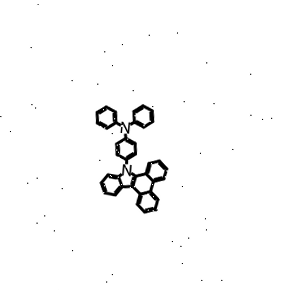 c1ccc(N(c2ccccc2)c2ccc(-n3c4ccccc4c4c5ccccc5c5ccccc5c43)cc2)cc1